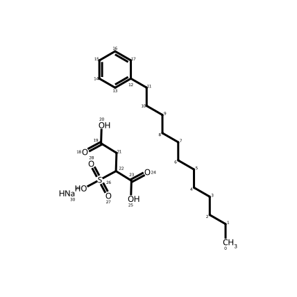 CCCCCCCCCCCCc1ccccc1.O=C(O)CC(C(=O)O)S(=O)(=O)O.[NaH]